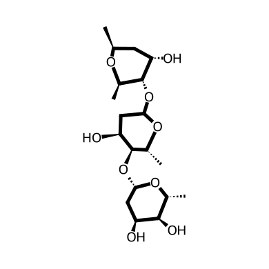 C[C@H]1C[C@H](O)[C@H](OC2C[C@H](O)[C@H](O[C@H]3C[C@H](O)[C@H](O)[C@@H](C)O3)[C@@H](C)O2)[C@@H](C)O1